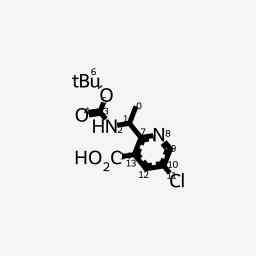 CC(NC(=O)OC(C)(C)C)c1ncc(Cl)cc1C(=O)O